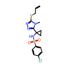 C=CCSc1nnc(C2(NS(=O)(=O)c3ccc(Cl)cc3)CC2)n1C